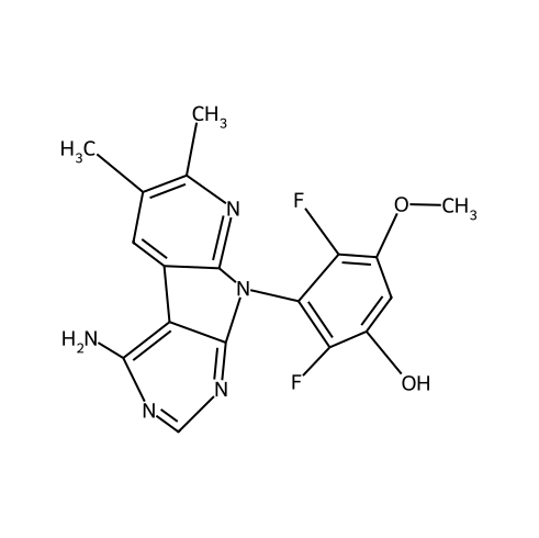 COc1cc(O)c(F)c(-n2c3nc(C)c(C)cc3c3c(N)ncnc32)c1F